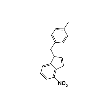 Cc1ccc(CC2C=Cc3c2cccc3[N+](=O)[O-])cc1